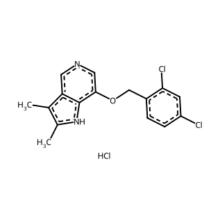 Cc1[nH]c2c(OCc3ccc(Cl)cc3Cl)cncc2c1C.Cl